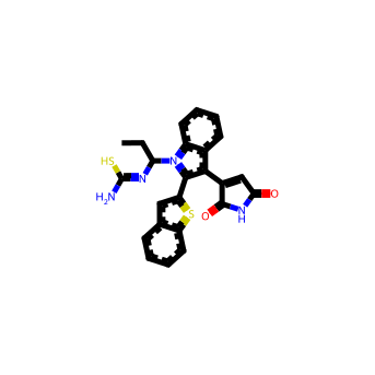 CCC(N=C(N)S)n1c(-c2cc3ccccc3s2)c(C2=CC(=O)NC2=O)c2ccccc21